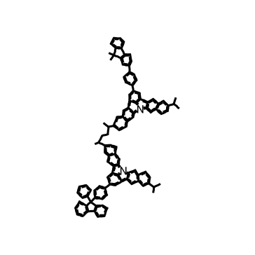 CC(C)c1ccc2cc3c(cc2c1)c1cc(-c2ccc(-c4ccc5c(c4)C(C)(C)c4ccccc4-5)cc2)cc2c4cc5cc(C(C)CCC(C)c6ccc7cc8c(cc7c6)c6cc(-c7ccc(C9(c%10ccccc%10)c%10ccccc%10-c%10ccccc%109)cc7)cc7c9cc%10cc(C(C)C)ccc%10cc9n8c76)ccc5cc4n3c12